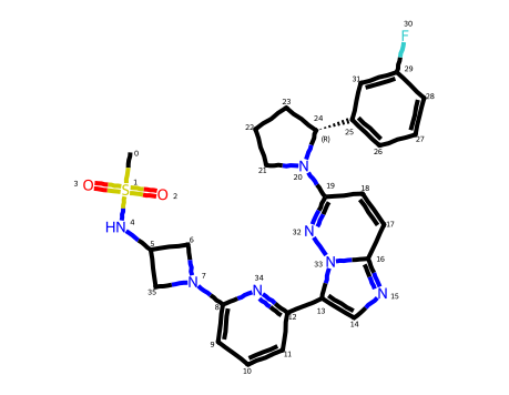 CS(=O)(=O)NC1CN(c2cccc(-c3cnc4ccc(N5CCC[C@@H]5c5cccc(F)c5)nn34)n2)C1